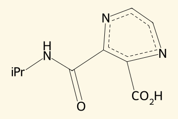 CC(C)NC(=O)c1nccnc1C(=O)O